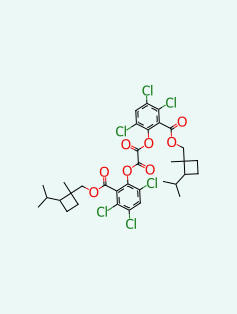 CC(C)C1CCC1(C)COC(=O)c1c(Cl)c(Cl)cc(Cl)c1OC(=O)C(=O)Oc1c(Cl)cc(Cl)c(Cl)c1C(=O)OCC1(C)CCC1C(C)C